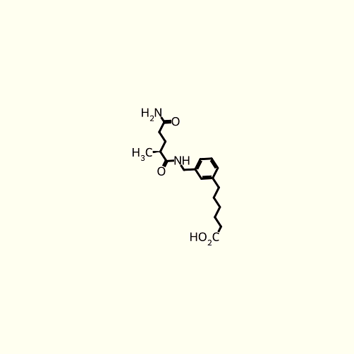 C[C@@H](CCC(N)=O)C(=O)NCc1cccc(CCCCCC(=O)O)c1